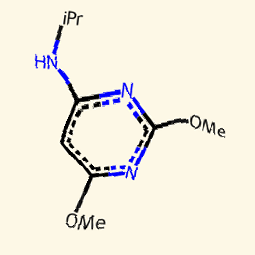 COc1cc(NC(C)C)nc(OC)n1